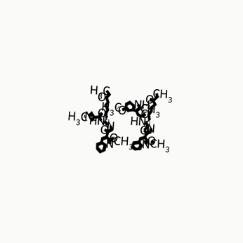 CCC(=O)CCCCC[C@H](NC(=O)C1CN(C)C1)c1ncc(-c2cc3ccccc3nc2OC)o1.CCC(=O)CCCCC[C@H](NC(=O)Cc1c(C)[nH]c2ccc(OC)cc12)c1ncc(-c2cc3ccccc3nc2OC)o1